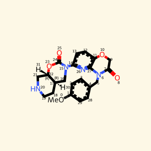 COc1ccc(CN2C(=O)COc3ccc(N4C[C@H]5CCNC[C@@H]5OC4=O)nc32)cc1